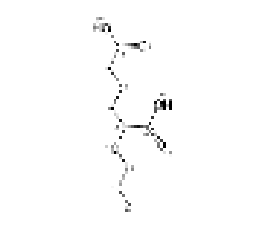 CCCOC(CCCC(=O)O)C(=O)O